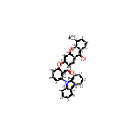 N#Cc1cccc2c(=O)c3cc4c(=O)c5c(-n6c7ccccc7c7ccccc76)cccc5oc4cc3oc12